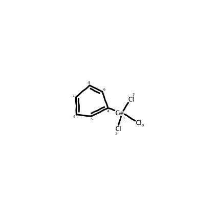 [Cl][Ge]([Cl])([Cl])[c]1ccccc1